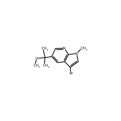 COC(C)(C)c1cnc2c(c1)c(Br)cn2C